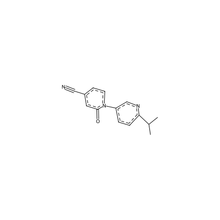 CC(C)c1ccc(-n2ccc(C#N)cc2=O)cn1